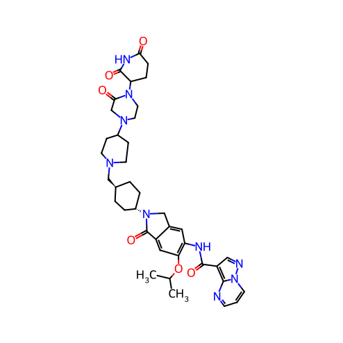 CC(C)Oc1cc2c(cc1NC(=O)c1cnn3cccnc13)CN([C@H]1CC[C@H](CN3CCC(N4CCN(C5CCC(=O)NC5=O)C(=O)C4)CC3)CC1)C2=O